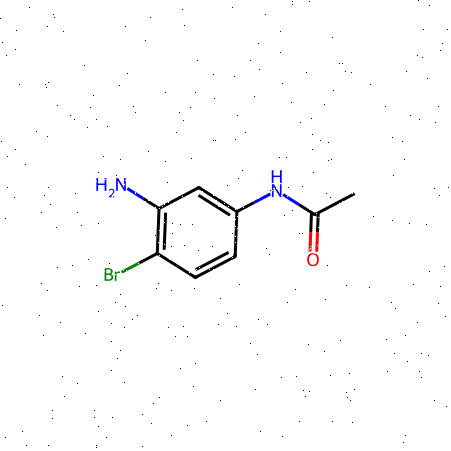 CC(=O)Nc1ccc(Br)c(N)c1